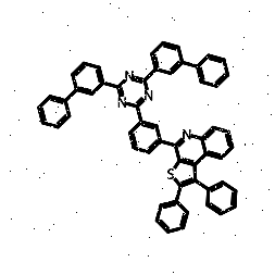 c1ccc(-c2cccc(-c3nc(-c4cccc(-c5ccccc5)c4)nc(-c4cccc(-c5nc6ccccc6c6c(-c7ccccc7)c(-c7ccccc7)sc56)c4)n3)c2)cc1